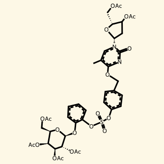 CC(=O)OC[C@H]1O[C@@H](n2cc(C)c(OCc3ccc(OS(=O)(=O)Oc4ccccc4O[C@@H]4O[C@H](COC(C)=O)[C@H](OC(C)=O)[C@H](OC(C)=O)[C@H]4OC(C)=O)cc3)nc2=O)CC1OC(C)=O